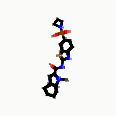 Cn1c(C(=O)Nc2nc3ccc(S(=O)(=O)N4CCC4)cc3s2)cc2ccccc21